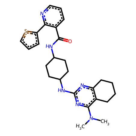 CN(C)c1nc(NC2CCC(NC(=O)c3cccnc3-c3cccs3)CC2)nc2c1CCCC2